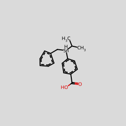 C[CH](C)[SnH]([CH2]c1ccccc1)[c]1ccc(C(=O)O)cc1